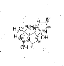 CC(C)(C)C1CC(O)(c2ncc(Br)cc2Cl)CCN1C(=O)O